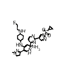 Cn1ccc(C2=CNC(N)(c3ccnc(-c4cnn(S(=O)(=O)C5CC5)c4)n3)C=C2NC2CCC(NCCF)CC2)n1